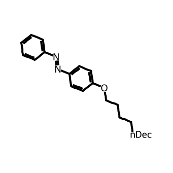 CCCCCCCCCCCCCCOc1ccc(/N=N/c2ccccc2)cc1